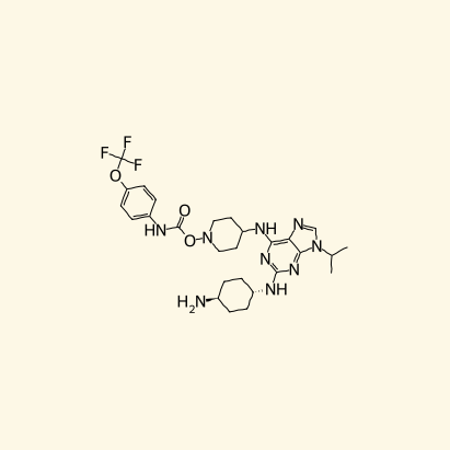 CC(C)n1cnc2c(NC3CCN(OC(=O)Nc4ccc(OC(F)(F)F)cc4)CC3)nc(N[C@H]3CC[C@H](N)CC3)nc21